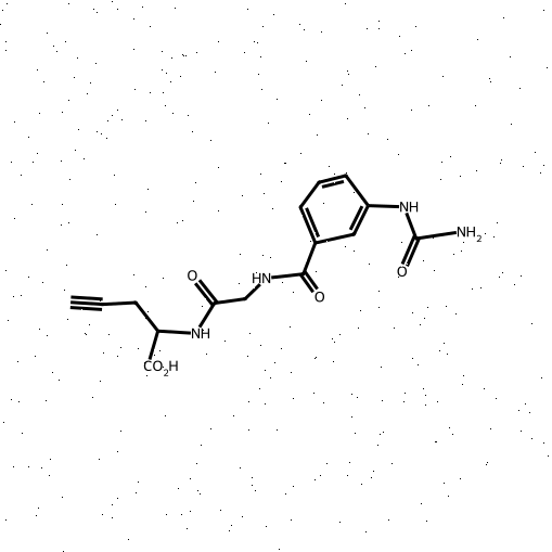 C#CCC(NC(=O)CNC(=O)c1cccc(NC(N)=O)c1)C(=O)O